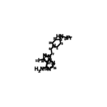 CC(C)NC1CCN(CCn2nc(I)c3c(N)ncnc32)CC1